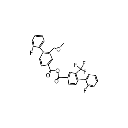 COCc1cc(C(=O)OC(=O)c2ccc(-c3ccccc3F)c(C(F)(F)F)c2)ccc1-c1ccccc1F